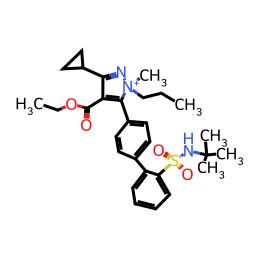 CCC[N+]1(C)N=C(C2CC2)C(C(=O)OCC)=C1c1ccc(-c2ccccc2S(=O)(=O)NC(C)(C)C)cc1